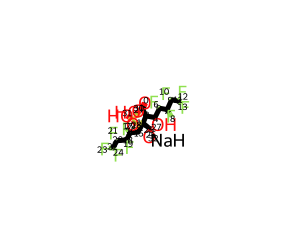 O=C(O)C(CC(F)C(F)C(F)C(F)F)C(CC(F)C(F)C(F)C(F)F)(C(=O)O)S(=O)(=O)O.[NaH]